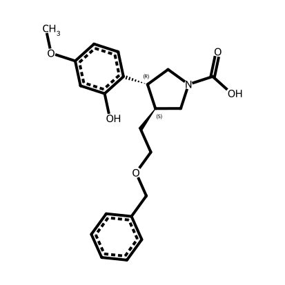 COc1ccc([C@@H]2CN(C(=O)O)C[C@H]2CCOCc2ccccc2)c(O)c1